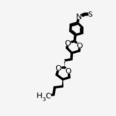 CCCC[C@H]1CO[C@H](CCC2COC(c3ccc(N=C=S)cc3)OC2)OC1